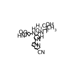 CC(C)(O)[C@H](F)CNC(=O)c1cnc(-c2ccc3cc(C#N)cnn23)cc1NC1CC2(CNC(=O)O2)C1